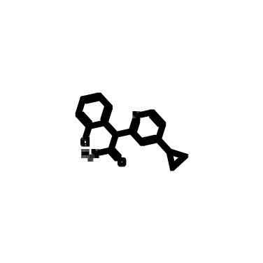 NC(=O)C(c1cc(C2CC2)ccn1)c1ccccc1Cl